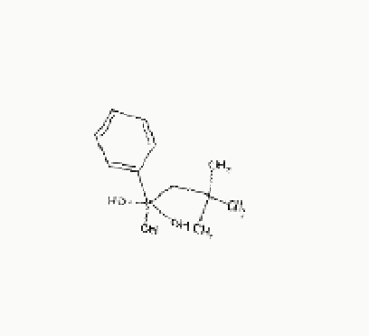 CC(C)(C)CP(O)(O)(O)c1ccccc1